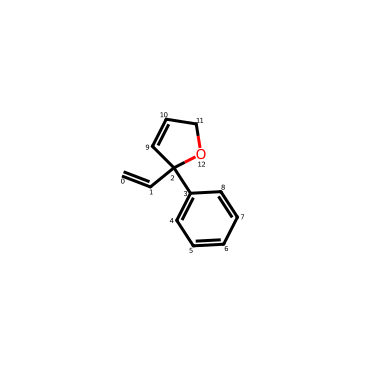 C=CC1(c2ccccc2)C=CCO1